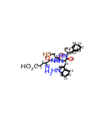 N[C@@H](CCC(=O)O)C(=O)N[C@@H](CS)C(=O)N[C@@H](Cc1c[nH]c2ccccc12)C(=O)N[C@@H](Cc1ccccc1)C(=O)O